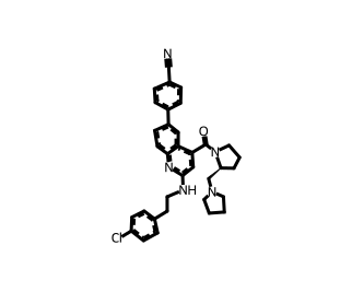 N#Cc1ccc(-c2ccc3nc(NCCc4ccc(Cl)cc4)cc(C(=O)N4CCC[C@H]4CN4CCCC4)c3c2)cc1